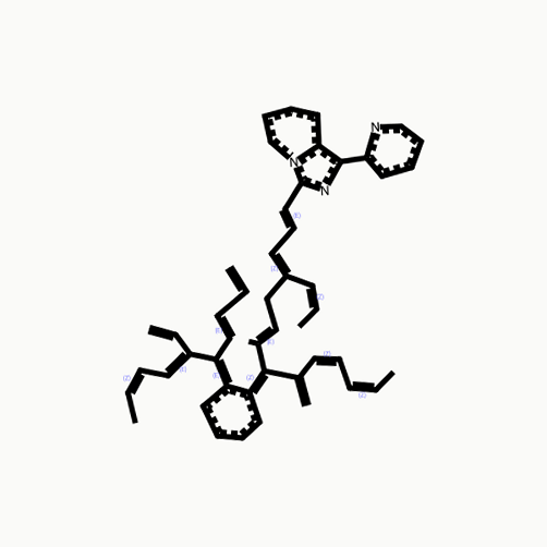 C=C/C=C/C(C(/C=C)=C/C=C\C)=c1/cccc/c1=C(C(=C)/C=C\C=C/C)/C(C)=C/CC(/C=C\C)=C/C=C/c1nc(-c2ccccn2)c2ccccn12